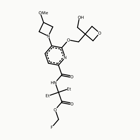 CCC(CC)(NC(=O)c1ccc(N2CC(OC)C2)c(OCC2(CO)COC2)n1)C(=O)OCF